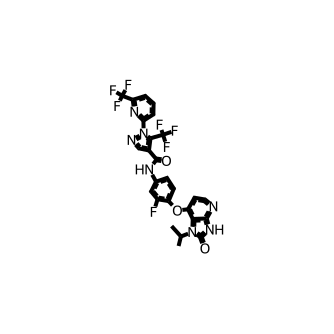 CC(C)n1c(=O)[nH]c2nccc(Oc3ccc(NC(=O)c4cnn(-c5cccc(C(F)(F)F)n5)c4C(F)(F)F)cc3F)c21